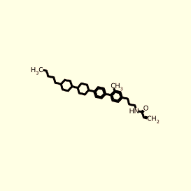 C=CC(=O)NCCCc1ccc(-c2ccc(C3CCC(C4CCC(CCCCC)CC4)CC3)cc2)c(C)c1